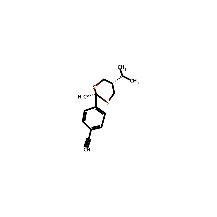 C#Cc1ccc([C@]2(C)SC[C@@H](C(C)C)CS2)cc1